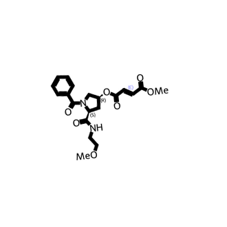 COCCNC(=O)[C@@H]1C[C@@H](OC(=O)/C=C/C(=O)OC)CN1C(=O)c1ccccc1